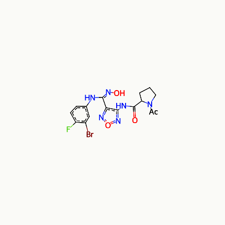 CC(=O)N1CCCC1C(=O)Nc1nonc1/C(=N\O)Nc1ccc(F)c(Br)c1